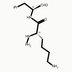 CC(C)C[C@@H](C=O)NC(=O)[C@H](CCCCN)NP